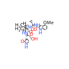 COc1cccc2[nH]c(C(=O)N[C@H](C(=O)N3C[C@H]4[C@@H]([C@H]3C(=O)N[C@@H](C[C@@H]3CCNC3=O)C(=O)CO)C4(C)C)C3CC3)cc12